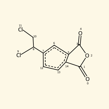 O=C1OC(=O)c2cc(C(Cl)CCl)ccc21